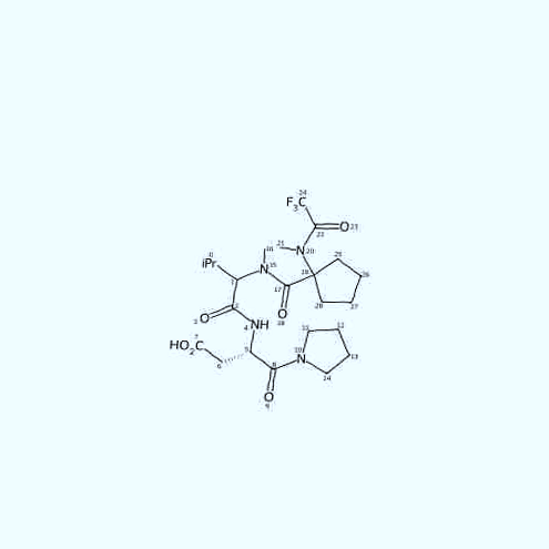 CC(C)C(C(=O)N[C@@H](CC(=O)O)C(=O)N1CCCC1)N(C)C(=O)C1(N(C)C(=O)C(F)(F)F)CCCC1